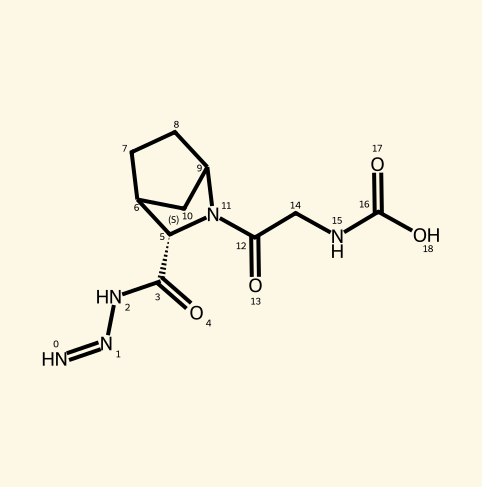 N=NNC(=O)[C@@H]1C2CCC(C2)N1C(=O)CNC(=O)O